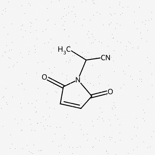 CC(C#N)N1C(=O)C=CC1=O